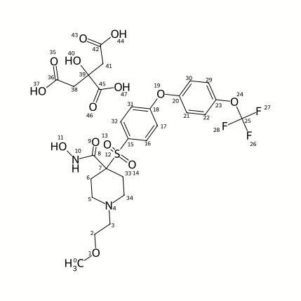 COCCN1CCC(C(=O)NO)(S(=O)(=O)c2ccc(Oc3ccc(OC(F)(F)F)cc3)cc2)CC1.O=C(O)CC(O)(CC(=O)O)C(=O)O